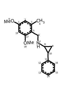 COc1cc(C)c(CNC2CC2c2ccccc2)c(OC)c1